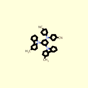 Cc1ccc2c(c1)c1ccccc1n2-c1cc(N(c2ccc(C#N)cc2)c2ccc(C#N)cc2)cc(-n2c3ccccc3c3cc(C)ccc32)c1